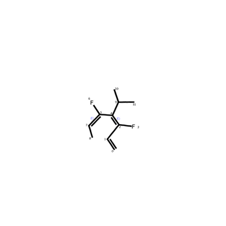 C=C/C(F)=C(\C(F)=C/C)C(C)C